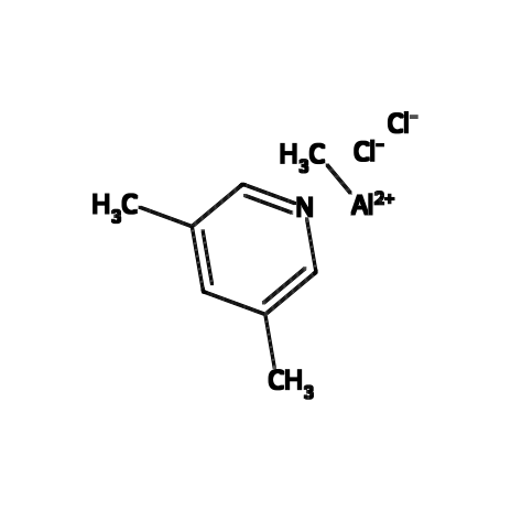 Cc1cncc(C)c1.[CH3][Al+2].[Cl-].[Cl-]